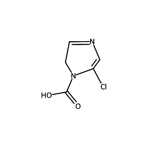 O=C(O)N1CC=NC=C1Cl